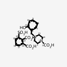 O=C(O)N1CCN(Cc2ccccc2O)CC1.O=C(O)c1cccc(S(=O)(=O)O)c1C(=O)O